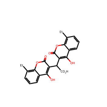 CCc1cccc2c(O)c(C(C(=O)O)c3c(O)c4cccc(CC)c4oc3=O)c(=O)oc12